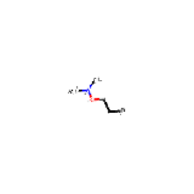 CCCCCON(C)C